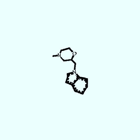 CN1CCOC(Cn2ccc3ccccc32)C1